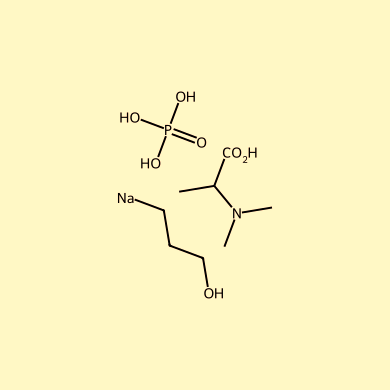 CC(C(=O)O)N(C)C.O=P(O)(O)O.OCC[CH2][Na]